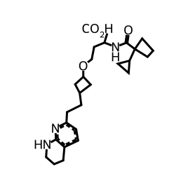 O=C(O)C(CCOC1CC(CCc2ccc3c(n2)NCCC3)C1)NC(=O)C1(C2CC2)CCC1